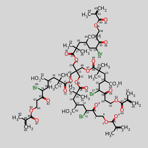 C=C(C)C(=O)OCCC(=O)C(Br)CC(CC(C)(C)C(=O)OCC(COC(=O)C(C)(C)CC(CC(Br)C(=O)CCOC(=O)C(=C)C)C(=O)O)(COC(=O)C(C)(C)CC(CC(Br)C(=O)CCOC(=O)C(=C)C)C(=O)O)COC(=O)C(C)(C)CC(CC(Br)C(=O)CCOC(=O)C(=C)C)C(=O)O)C(=O)O